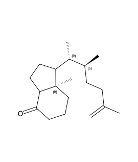 C=C(C)CC[C@H](C)[C@@H](C)C1CCC2C(=O)CCC[C@@]21C